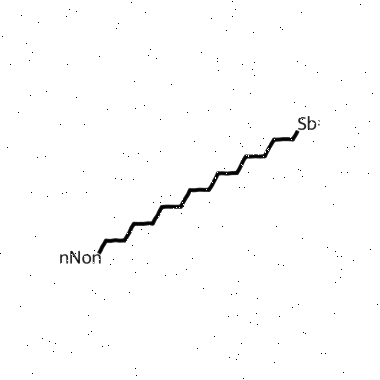 CCCCCCCCCCCCCCCCCCCCCC[CH2][Sb]